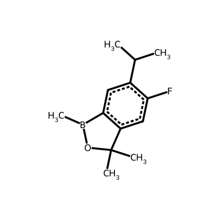 CB1OC(C)(C)c2cc(F)c(C(C)C)cc21